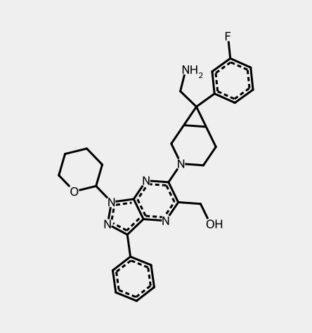 NCC1(c2cccc(F)c2)C2CCN(c3nc4c(nc3CO)c(-c3ccccc3)nn4C3CCCCO3)CC21